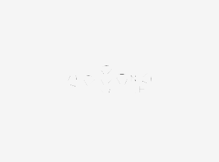 CC1c2ccccc2CN1c1ccc(-c2c3ccccc3c(-c3ccc(-c4ccccc4)cc3)c3ccccc23)cc1